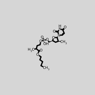 CCCCCOC(=O)C(C)CCOP(=O)(O)OC[C@@H]1C[C@H](C)[C@H](n2ccc(=O)[nH]c2=O)O1